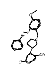 COc1ccc(CN2C[C@@H](c3cc(Cl)ccc3O)[C@H](c3ccccc3Br)C2)c(OC)c1